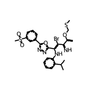 C=C(OCSC)C(=N)/C(Br)=C(\Nc1ccccc1C(C)C)c1nnc(-c2cccc(S(C)(=O)=O)c2)o1